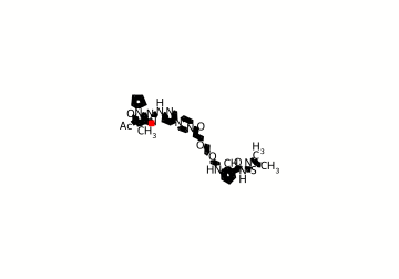 CC(=O)c1c(C)c2cnc(Nc3ccc(N4CCN(C(=O)CCOCCOCCNc5cccc(C(=O)NC6=NC(C)C(C)S6)c5C)CC4)cn3)nc2n(C2CCCC2)c1=O